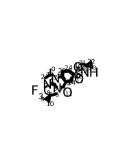 C[C@@H]1CN=C2N(CC3(C(F)(F)F)CC3)C(=O)c3cc(S(=O)(=O)NC4(C)CC4)ccc3N21